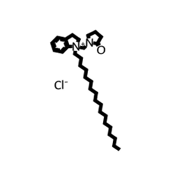 CCCCCCCCCCCCCCCCCC[N+]1(CN2CCCC2=O)CCc2ccccc21.[Cl-]